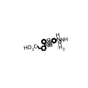 N=C(N)Nc1ccc(S(=O)(=O)CNC2(c3ccccc3)C=CC=C(CCC(=O)O)C2)cc1